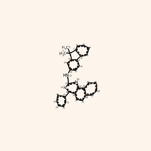 CC1(C)c2ccccc2-c2ccc(Nc3nc(-c4ccccc4)c4ccc5ccccc5c4n3)cc21